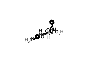 NN=Cc1ccc(NC(=O)CCC(=O)NC(CC(=O)O)C(=O)NCCc2ccccc2)cc1